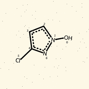 On1ccc(Cl)n1